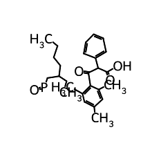 CCCCC(CC)CP=O.Cc1cc(C)c(C(=O)C(C(=O)O)c2ccccc2)c(C)c1